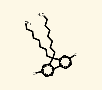 CCCCCCCCC1(CCCCCCCC)c2cc(Cl)ccc2-c2ccc(Cl)cc21